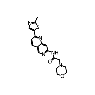 Cc1ncc(-c2ccc3cnc(NC(=O)CN4CCOCC4)cc3n2)s1